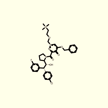 C[Si](C)(C)CCOCn1cc(OCc2ccccc2)c(=O)c(C(=O)N2CCCC2[C@H](O)[C@H](c2ccc(Cl)cc2)c2cccc(F)c2)n1